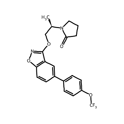 C[C@H](COc1noc2ccc(-c3ccc(OC(F)(F)F)cc3)cc12)N1CCCC1=O